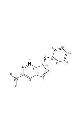 CN(C)c1cnc2c(ccn2Sc2ccccc2)c1